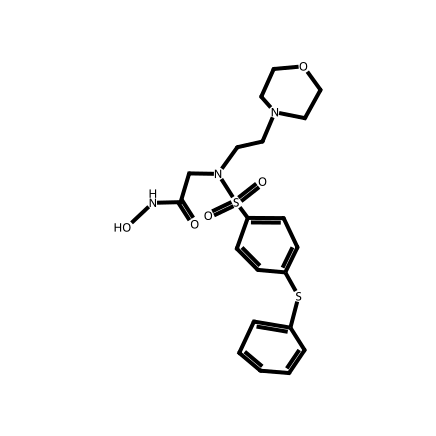 O=C(CN(CCN1CCOCC1)S(=O)(=O)c1ccc(Sc2ccccc2)cc1)NO